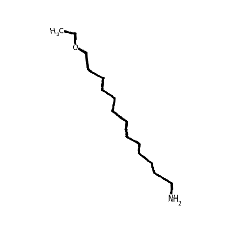 CCOCCCCCCCCCCCCCN